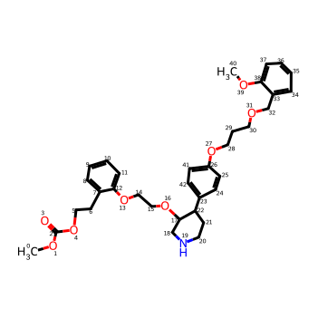 COC(=O)OCCc1ccccc1OCCOC1CNCCC1c1ccc(OCCCOCc2ccccc2OC)cc1